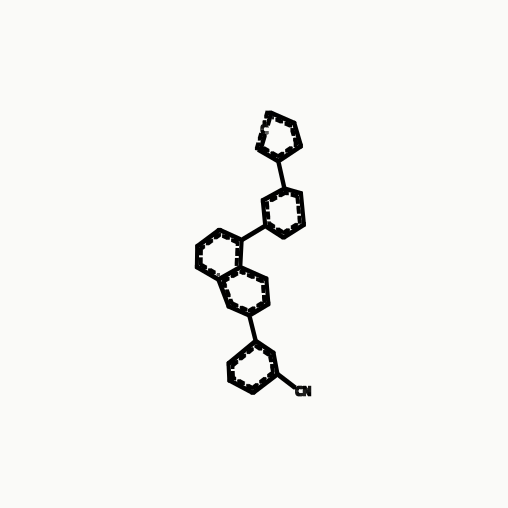 N#Cc1cccc(-c2ccc3c(-c4cccc(-c5ccccc5)c4)cccc3c2)c1